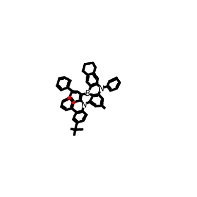 Cc1cc2c3c(c1)N(c1ccc(C(C)(C)C)cc1-c1ccccc1)c1ccc(-c4ccccc4)cc1B3c1cc3c(cc1N2c1ccccc1)CCCC3